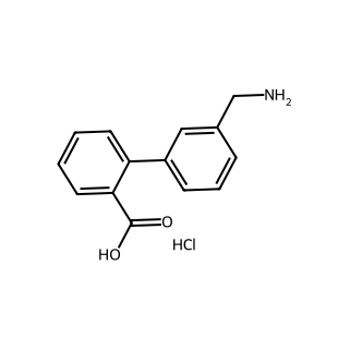 Cl.NCc1cccc(-c2ccccc2C(=O)O)c1